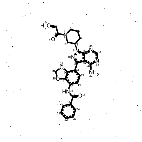 C=CC(=O)N1CCC[C@@H](n2nc(-c3ccc(NC(=O)c4ccccc4)c4c3OCO4)c3c(N)ncnc32)C1